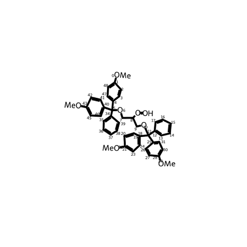 COc1ccc(C(OCC(COC(c2ccccc2)(c2ccc(OC)cc2)c2ccc(OC)cc2)OO)(c2ccccc2)c2ccc(OC)cc2)cc1